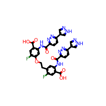 O=C(Nc1cc(CCOc2cc(NC(=O)c3ccc(-c4cn[nH]c4)nn3)c(C(=O)O)cc2F)c(F)cc1C(=O)O)c1ccc(-c2cn[nH]c2)nn1